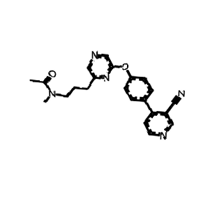 CC(=O)N(C)CCCc1cncc(Oc2ccc(-c3ccncc3C#N)cc2)n1